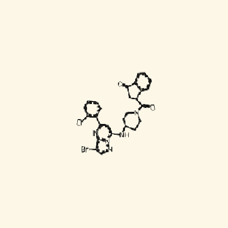 O=C1CC(C(=O)N2CCC(Nc3cc(-c4ccccc4Cl)nc4c(Br)cnn34)CC2)c2ccccc21